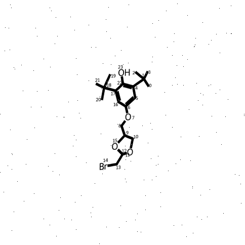 CC(C)(C)c1cc(OCC2COC(CBr)O2)cc(C(C)(C)C)c1O